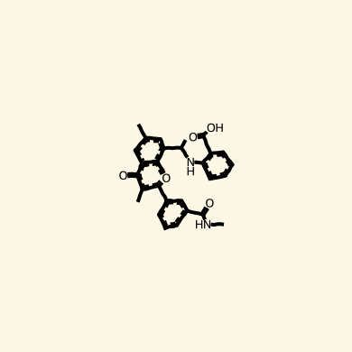 CNC(=O)c1cccc(-c2oc3c(C(C)Nc4ccccc4C(=O)O)cc(C)cc3c(=O)c2C)c1